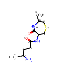 NC(CCC(=O)NC1CSCC(C(=O)O)NC1=O)C(=O)O